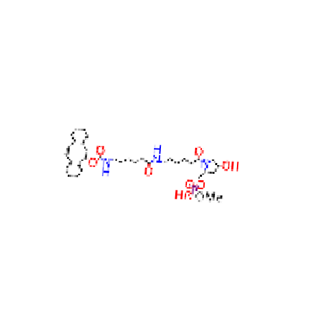 COP(=O)(O)OC[C@@H]1C[C@@H](O)CN1C(=O)CCCCCNC(=O)CCCCCNC(=O)OC1Cc2ccccc2C#Cc2ccccc21